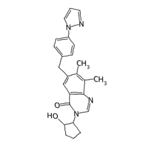 Cc1c(Cc2ccc(-n3cccn3)cc2)cc2c(=O)n(C3CCCC3O)cnc2c1C